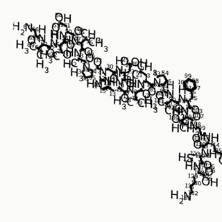 CC(C)C[C@H](NC(=O)[C@@H](NC(=O)[C@H](Cc1c[nH]cn1)NC(=O)[C@H](CC(=O)O)NC(=O)CNC(=O)[C@@H]1CCCN1C(=O)[C@H](C)NC(=O)[C@@H](NC(=O)[C@H](CC(=O)O)NC(=O)[C@@H](NC(=O)[C@@H](NC(=O)CN)C(C)C)[C@@H](C)O)C(C)C)C(C)C)C(=O)N1CCC[C@H]1C(=O)N[C@H](C(=O)N[C@@H](Cc1ccccc1)C(=O)N[C@H](C(=O)NCC(=O)N[C@@H](CCC(=O)O)C(=O)N[C@@H](CS)C(=O)N[C@@H](CCCCN)C(=O)O)[C@@H](C)O)C(C)C